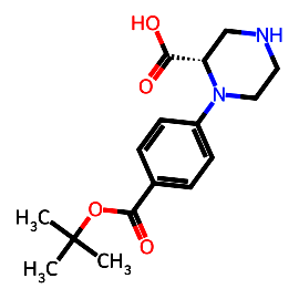 CC(C)(C)OC(=O)c1ccc(N2CCNC[C@H]2C(=O)O)cc1